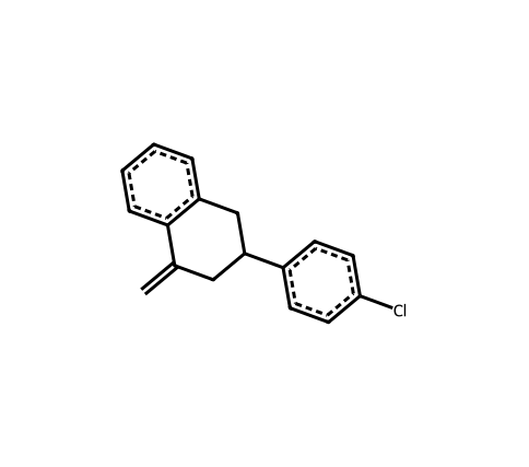 C=C1CC(c2ccc(Cl)cc2)Cc2ccccc21